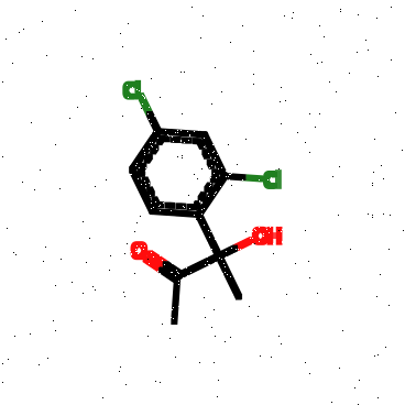 CC(=O)C(C)(O)c1ccc(Cl)cc1Cl